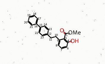 COC(=O)c1c(O)cccc1CCc1ccc(-c2ccccc2)cc1